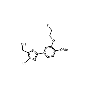 CCc1sc(-c2ccc(OC)c(OCCF)c2)nc1CO